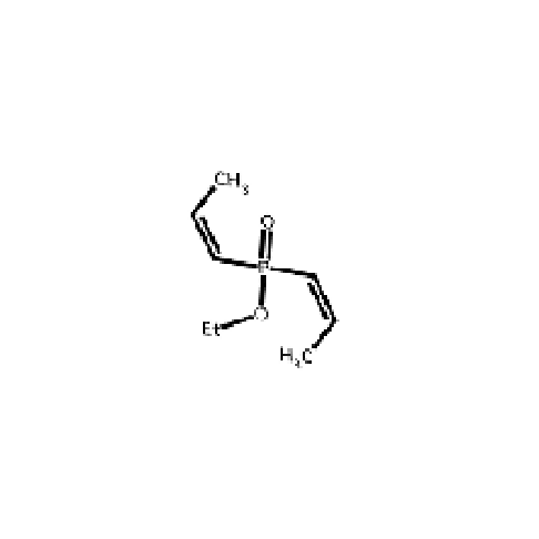 C/C=C\P(=O)(/C=C\C)OCC